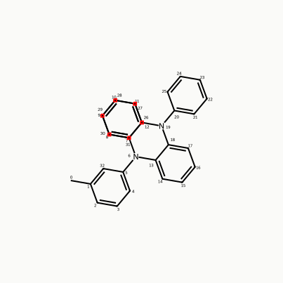 Cc1cccc(N(c2ccccc2)c2ccccc2N(c2ccccc2)c2ccccc2)c1